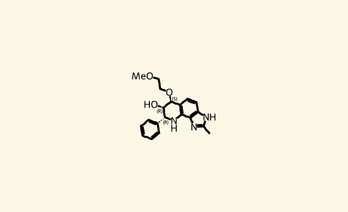 COCCO[C@H]1c2ccc3[nH]c(C)nc3c2N[C@H](c2ccccc2)[C@H]1O